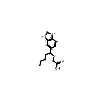 CCCCC(SCC(=O)O)c1ccc2c(c1)OCO2